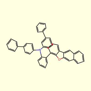 c1ccc(-c2ccc(N(c3cccc(-c4ccccc4)c3)c3ccccc3-c3cccc4c3oc3cc5ccccc5cc34)cc2)cc1